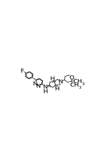 CC1(C)CC(N2C[C@H]3C[C@@H](Nc4ccc(-c5ccc(F)cc5)nn4)C[C@H]3C2)CCO1